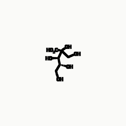 O=C(O)[C@@](O)(CO)[C@H](O)[C@H](O)CO